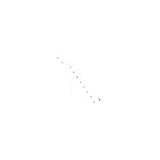 O=S(=O)([O-])C(F)(F)C(F)(F)C(F)(F)C(F)(F)C(F)(F)C(F)(F)C(F)(F)C(F)(F)C(F)CC(F)(F)F.[Na+]